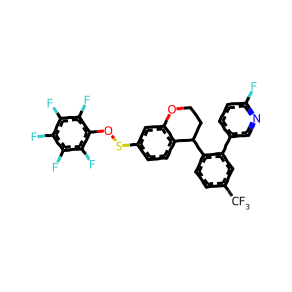 Fc1ccc(-c2cc(C(F)(F)F)ccc2C2CCOc3cc(SOc4c(F)c(F)c(F)c(F)c4F)ccc32)cn1